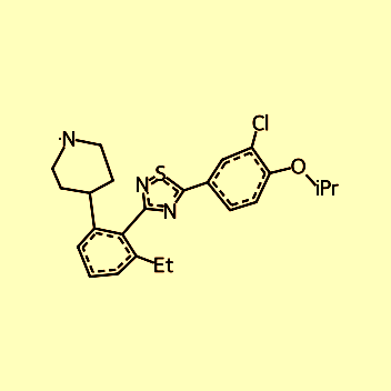 CCc1cccc(C2CC[N]CC2)c1-c1nsc(-c2ccc(OC(C)C)c(Cl)c2)n1